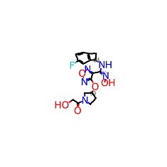 O=C(CO)N1CC[C@H](Oc2nonc2/C(=N\O)N[C@H]2Cc3ccc(F)cc32)C1